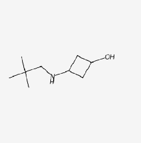 CC(C)(C)CNC1CC(O)C1